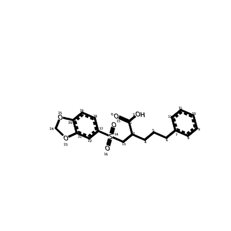 O=C(O)C(CCCc1ccccc1)CS(=O)(=O)c1ccc2c(c1)OCO2